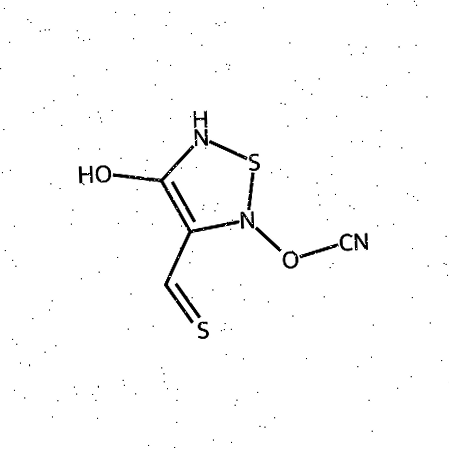 N#CON1SNC(O)=C1C=S